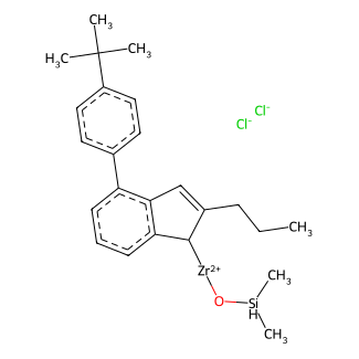 CCCC1=Cc2c(-c3ccc(C(C)(C)C)cc3)cccc2[CH]1[Zr+2][O][SiH](C)C.[Cl-].[Cl-]